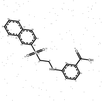 O=C(O)c1cccc(NCCS(=O)(=O)c2ccc3ccccc3c2)c1